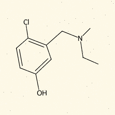 CCN(C)Cc1cc(O)ccc1Cl